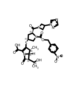 C[C@@H](O)[C@H]1C(=O)N2C(C(=O)O)=C(S[C@H]3C[C@@H](C(=O)N4CC(n5cncn5)C4)N(C(=O)OCc4ccc([N+](=O)[O-])cc4)C3)[C@H](C)[C@H]12